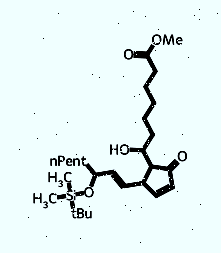 CCCCCC(C=CC1C=CC(=O)C1C(O)CCCCCC(=O)OC)O[Si](C)(C)C(C)(C)C